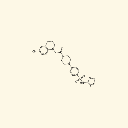 O=C(CN1CCCc2cc(Cl)ccc21)N1CCN(c2ccc(S(=O)(=O)Nc3nncs3)cc2)CC1